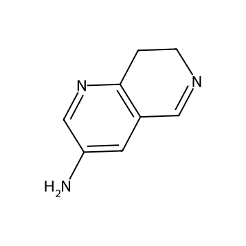 Nc1cnc2c(c1)C=NCC2